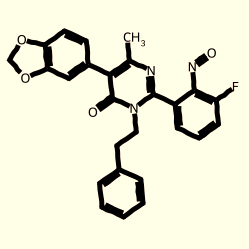 Cc1nc(-c2cccc(F)c2N=O)n(CCc2ccccc2)c(=O)c1-c1ccc2c(c1)OCO2